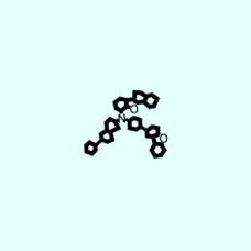 c1ccc(-c2ccc3cc(N(c4ccc(-c5ccc6oc7ccccc7c6c5)cc4)c4cccc5c4oc4c6ccccc6ccc54)ccc3c2)cc1